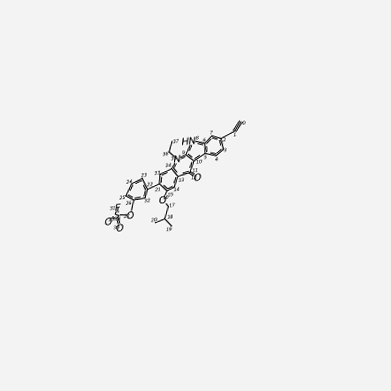 C#Cc1ccc2c(c1)[nH]c1c2c(=O)c2cc(OCC(C)C)c(-c3cccc(OS(=O)(=O)F)c3)cc2n1CC